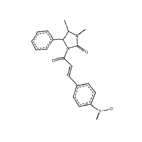 CC1C(c2ccccc2)N(C(=O)C=Cc2ccc([S+](C)[O-])cc2)C(=O)N1C